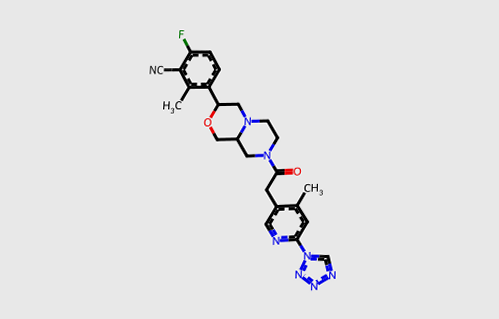 Cc1cc(-n2cnnn2)ncc1CC(=O)N1CCN2CC(c3ccc(F)c(C#N)c3C)OCC2C1